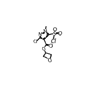 Cn1nc(Cl)c(C(=O)OC2COC2)c1S(=O)(=O)Cl